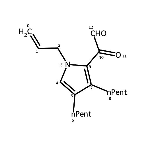 C=CCn1cc(CCCCC)c(CCCCC)c1C(=O)C=O